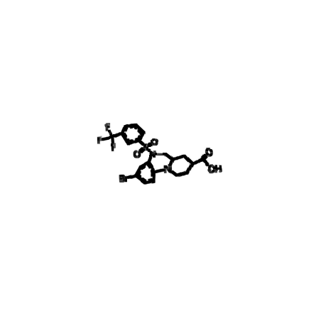 O=C(O)C1CCN2c3ccc(Br)cc3N(S(=O)(=O)c3cccc(C(F)(F)F)c3)CC2C1